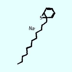 CCCCCCCCCCCCC12C=CC=CC1S2.[Na]